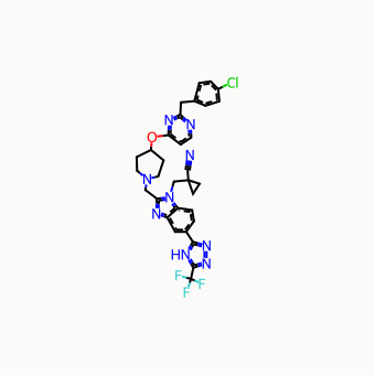 N#CC1(Cn2c(CN3CCC(Oc4ccnc(Cc5ccc(Cl)cc5)n4)CC3)nc3cc(-c4nnc(C(F)(F)F)[nH]4)ccc32)CC1